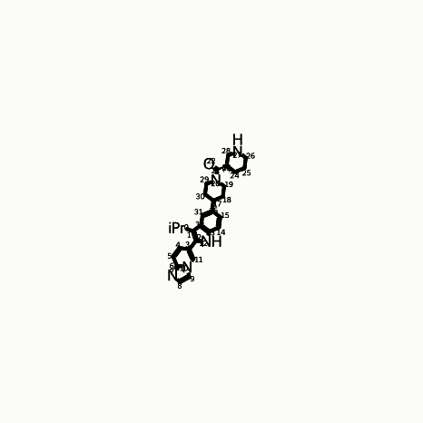 CC(C)c1c(-c2ccc3nccn3c2)[nH]c2ccc(C3CCN(C(=O)[C@@H]4CCCNC4)CC3)cc12